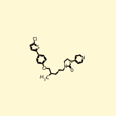 CC(CCCN1CCN(c2ccncc2)C1=O)COc1ccc(-c2ccc(Cl)s2)cc1